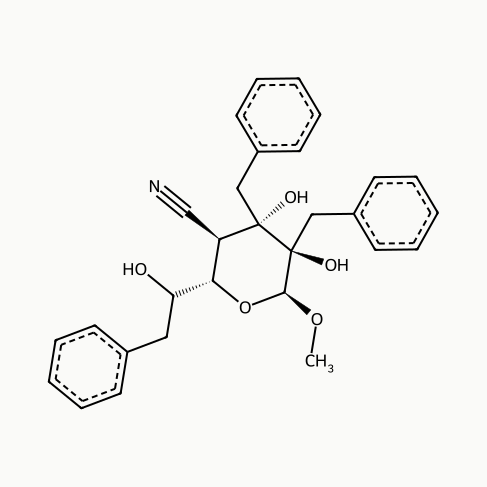 CO[C@H]1O[C@H](C(O)Cc2ccccc2)[C@@H](C#N)[C@@](O)(Cc2ccccc2)[C@]1(O)Cc1ccccc1